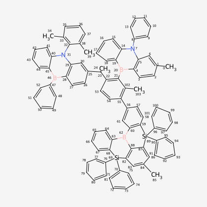 Cc1ccc2c(c1)N(c1ccccc1)c1ccccc1B2c1c([C@@H](C)c2ccc3c(c2)N(c2c(C)cccc2C)c2ccccc2B3c2ccccc2)ccc(-c2ccc3c(c2)B2c4ccccc4[Si](c4ccccc4)(c4ccccc4)c4cc(C)cc(c42)[Si]3(c2ccccc2)c2ccccc2)c1C